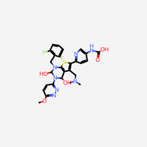 COc1ccc(N2C(O)c3c(sc(-c4ccc(NC(=O)O)cn4)c3CN(C)C)N(Cc3c(F)cccc3F)C2O)nn1